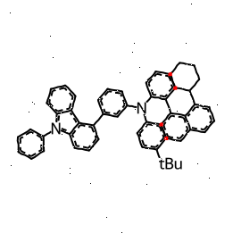 CC(C)(C)c1ccc(N(c2cccc(-c3cccc4c3c3ccccc3n4-c3ccccc3)c2)c2ccccc2-c2cccc3cccc(C4CCCCC4)c23)cc1